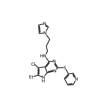 CCc1[nH]c2nc(Sc3cccnc3)nc(NCCCn3ccnc3)c2c1Cl